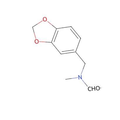 CN([C]=O)Cc1ccc2c(c1)OCO2